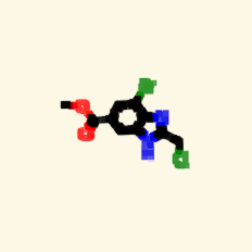 COC(=O)c1cc(Br)c2nc(CCl)[nH]c2c1